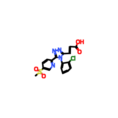 CS(=O)(=O)c1ccc(-c2nnc(/C=C/C(=O)O)n2-c2ccccc2Cl)nc1